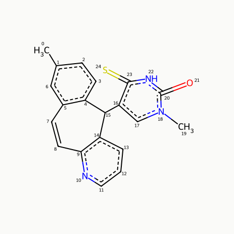 Cc1ccc2c(c1)C=Cc1ncccc1C2c1cn(C)c(=O)[nH]c1=S